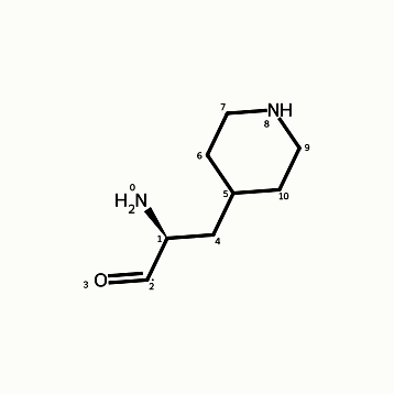 N[C@H]([C]=O)CC1CCNCC1